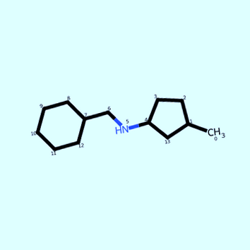 CC1CCC(NCC2CCCCC2)C1